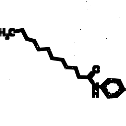 CCCCCCCCCCCC(=O)Nc1cc[c]cc1